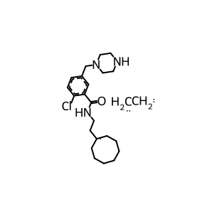 O=C(NCC[C]1CCCCCCC1)c1cc(CN2CCNCC2)ccc1Cl.[CH2].[CH2]